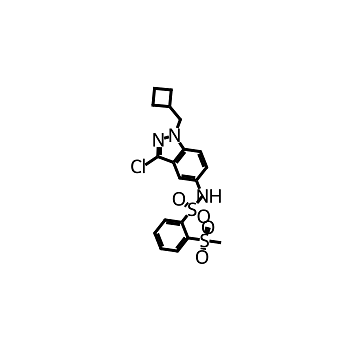 CS(=O)(=O)c1ccccc1S(=O)(=O)Nc1ccc2c(c1)c(Cl)nn2CC1CCC1